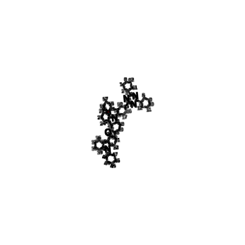 c1ccc(-c2nc(-c3ccccc3)nc(-c3ccc(-n4c5ccccc5c5c6oc7c(ccc8c7c7ccccc7n8-c7ccccc7)c6ccc54)c(-c4ccccc4)c3)n2)cc1